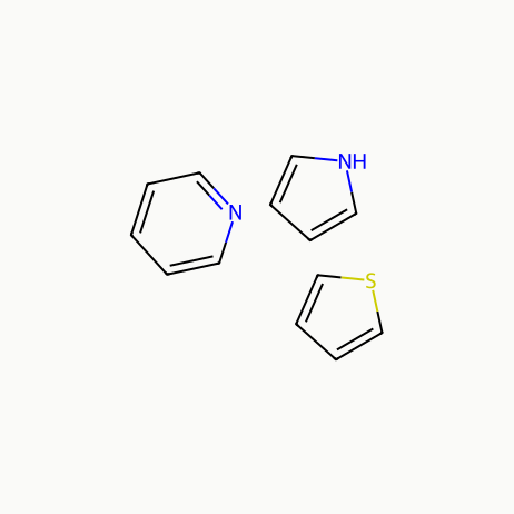 c1cc[nH]c1.c1ccncc1.c1ccsc1